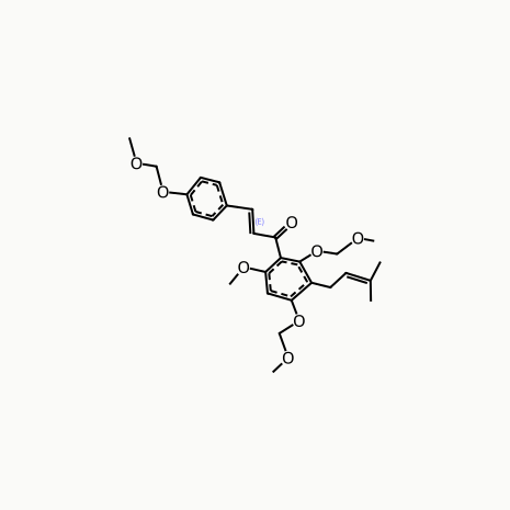 COCOc1ccc(/C=C/C(=O)c2c(OC)cc(OCOC)c(CC=C(C)C)c2OCOC)cc1